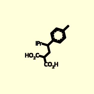 Cc1ccc(C(CC(C(=O)O)C(=O)O)C(C)C)cc1